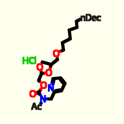 CCCCCCCCCCCCCCCCOCC1COC(COC(=O)N(Cc2ccccn2)C(C)=O)O1.Cl